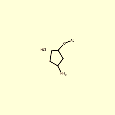 CC(=O)SC1CCC(N)C1.Cl